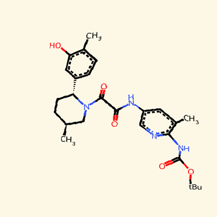 Cc1ccc([C@H]2CC[C@H](C)CN2C(=O)C(=O)Nc2cnc(NC(=O)OC(C)(C)C)c(C)c2)cc1O